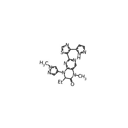 CCC1C(=O)N(C)c2cnc(-c3scnc3-c3ccn[nH]3)nc2N1c1cnn(C)c1